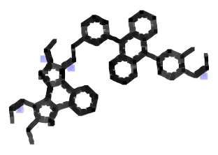 C/C=C\c1ccc(-c2c3ccccc3c(-c3cccc(C/C=c4\c(=C/C)sc5c6c(/C=C\C)c(CC)sc6c6ccccc6c45)c3)c3ccccc23)cc1C